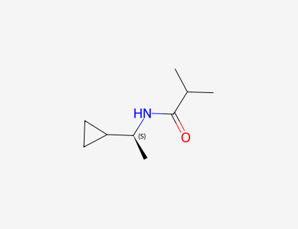 CC(C)C(=O)N[C@@H](C)C1CC1